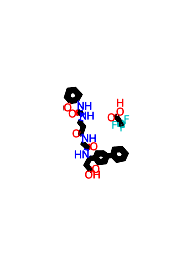 COc1ccccc1NC(=O)NCCC(=O)NCC(=O)NC(CC(=O)O)c1ccc(-c2ccccc2)cc1.O=C(O)C(F)(F)F